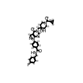 O=C(NCc1ccc(F)cc1)c1ccc(-n2ncc3c(=O)n(CC4(O)CCN(C(=O)C5CC5)CC4)cnc32)cc1